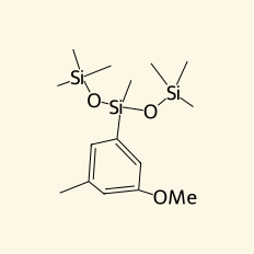 COc1cc(C)cc([Si](C)(O[Si](C)(C)C)O[Si](C)(C)C)c1